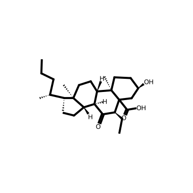 CCC[C@@H](C)[C@H]1CC[C@H]2[C@@H]3C(=O)[C@H](CC)C4(C(=O)O)C[C@H](O)CC[C@]4(C)[C@H]3CC[C@]12C